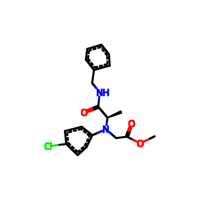 COC(=O)CN(c1ccc(Cl)cc1)[C@H](C)C(=O)NCc1ccccc1